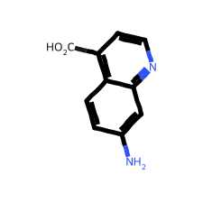 Nc1ccc2c(C(=O)O)ccnc2c1